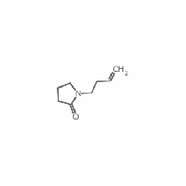 C=CCCN1CCCC1=O